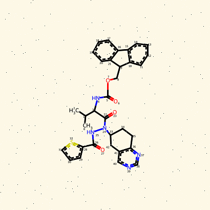 CC(C)C(NC(=O)OCC1c2ccccc2-c2ccccc21)C(=O)N(NC(=O)c1cccs1)C1CCc2ncncc2C1